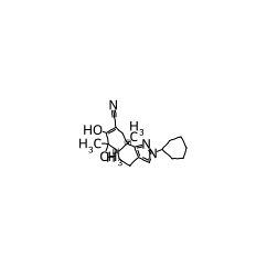 CC1(C)C(O)=C(C#N)C[C@]2(C)c3nn(C4CCCCC4)cc3CC[C@@H]12